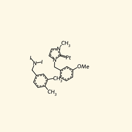 COc1cccc(Cn2ccn(C)[c]2=[Pt])c1.Cc1ccc(CN(I)I)cc1C